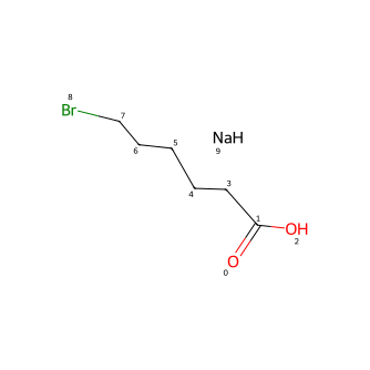 O=C(O)CCCCCBr.[NaH]